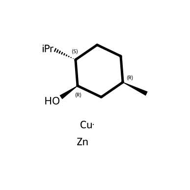 CC(C)[C@@H]1CC[C@@H](C)C[C@H]1O.[Cu].[Zn]